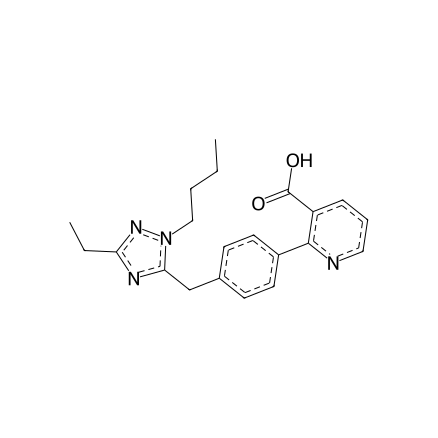 CCCCn1nc(CC)nc1Cc1ccc(-c2ncccc2C(=O)O)cc1